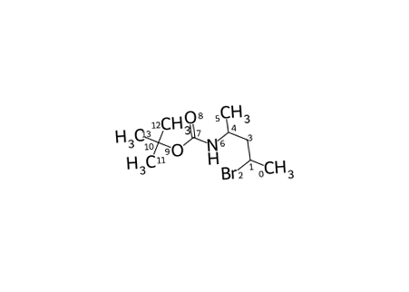 CC(Br)CC(C)NC(=O)OC(C)(C)C